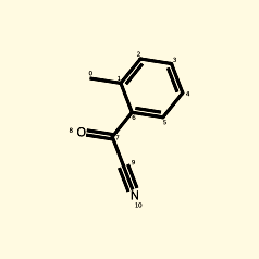 Cc1ccccc1C(=O)C#N